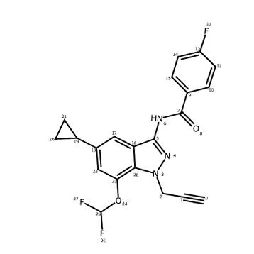 C#CCn1nc(NC(=O)c2ccc(F)cc2)c2cc(C3CC3)cc(OC(F)F)c21